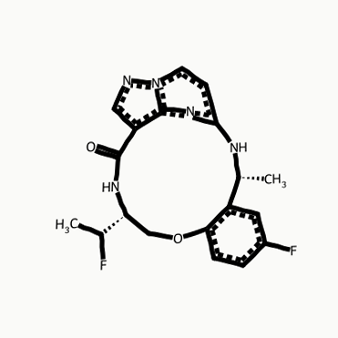 CC(F)[C@H]1COc2ccc(F)cc2[C@@H](C)Nc2ccn3ncc(c3n2)C(=O)N1